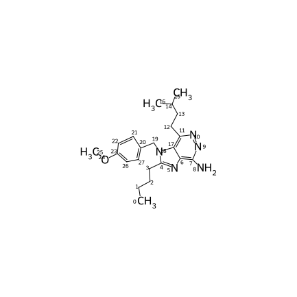 CCCCc1nc2c(N)nnc(CCC(C)C)c2n1Cc1ccc(OC)cc1